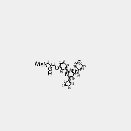 CNCC(O)COc1cccc(-c2nc(C3=CCCC3)cc(N(C)C3CCOCC3)n2)c1